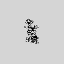 CCOP(=O)(OCC)C1(NC(=O)[C@@H]2CCCN2C(=O)[C@@H](N(C)C(=O)OC(C)(C)C)C(C)(C)C)CC1